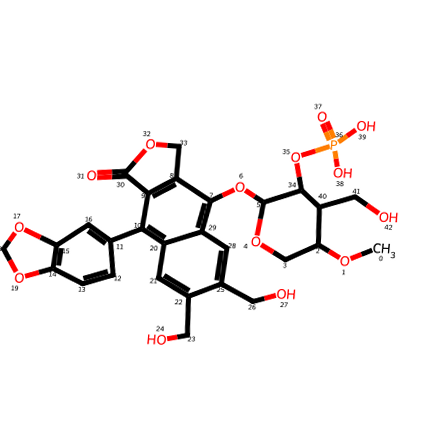 COC1COC(Oc2c3c(c(-c4ccc5c(c4)OCO5)c4cc(CO)c(CO)cc24)C(=O)OC3)C(OP(=O)(O)O)C1CO